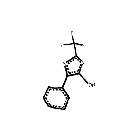 Oc1nc(C(F)(F)F)sc1-c1ccccc1